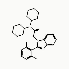 O=C(Cn1c(-c2c(F)cccc2F)nc2ccccc21)N(C1CCCCC1)C1CCCCC1